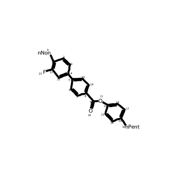 CCCCCCCCCc1ccc(-c2ccc(C(=O)Oc3ccc(CCCCC)cc3)cc2)cc1F